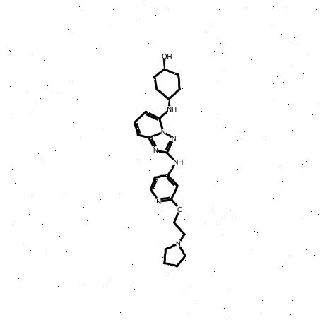 O[C@H]1CC[C@@H](Nc2cccc3nc(Nc4ccnc(OCCN5CCCC5)c4)nn23)CC1